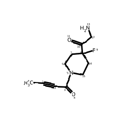 CC#CC(=O)N1CCC(F)(C(=O)CN)CC1